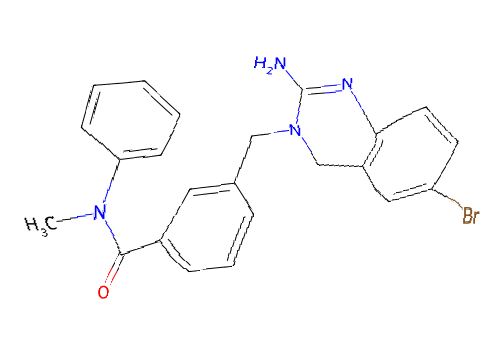 CN(C(=O)c1cccc(CN2Cc3cc(Br)ccc3N=C2N)c1)c1ccccc1